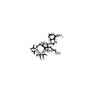 CC(C)[Si]1(C(C)C)OC[C@H]2O[C@@H](n3cnc4c(N)ncnc43)[C@](O)(CCCO)[C@@H]2O[Si](C(C)C)(C(C)C)O1